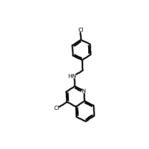 Clc1ccc(CNc2cc(Cl)c3ccccc3n2)cc1